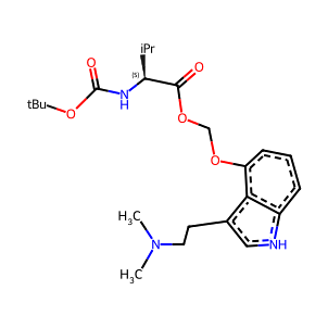 CC(C)[C@H](NC(=O)OC(C)(C)C)C(=O)OCOc1cccc2[nH]cc(CCN(C)C)c12